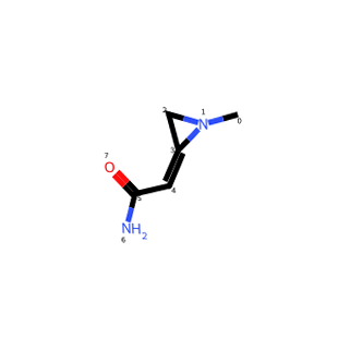 CN1C/C1=C\C(N)=O